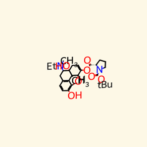 CCN(C)[C@@H]1Cc2ccc(O)c3c2[C@@]2(C)[C@@H](O3)C(OC(=O)[C@@H]3CCCN3C(=O)OC(C)(C)C)=CC[C@@]12O